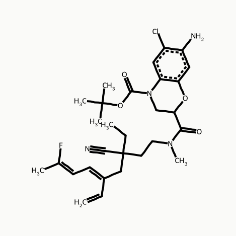 C=CC(=CC=C(C)F)CC(C#N)(CC)CCN(C)C(=O)C1CN(C(=O)OC(C)(C)C)c2cc(Cl)c(N)cc2O1